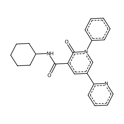 O=C(NC1CCCCC1)c1cc(-c2ccccn2)cn(-c2ccccc2)c1=O